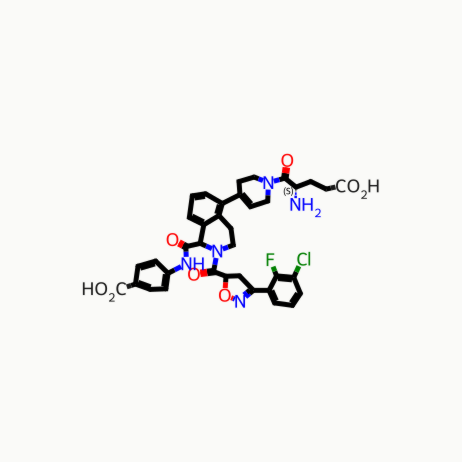 N[C@@H](CCC(=O)O)C(=O)N1CC=C(c2cccc3c2CCN(C(=O)C2CC(c4cccc(Cl)c4F)=NO2)C3C(=O)Nc2ccc(C(=O)O)cc2)CC1